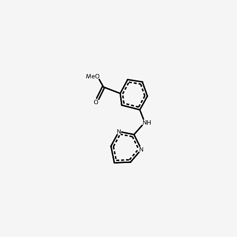 COC(=O)c1cccc(Nc2ncccn2)c1